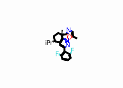 Cc1cnc([C@@]2(C)CC[C@H](C(C)C)c3cc(-c4c(F)cccc4F)nnc32)o1